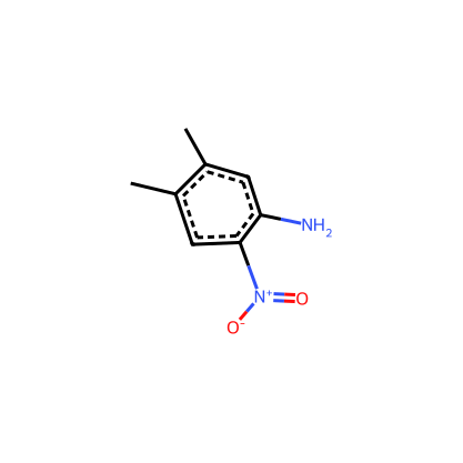 Cc1cc(N)c([N+](=O)[O-])cc1C